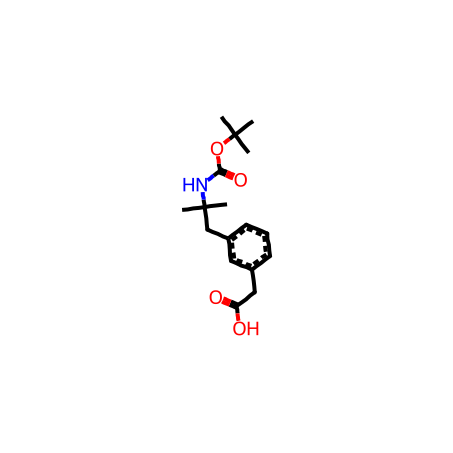 CC(C)(Cc1cccc(CC(=O)O)c1)NC(=O)OC(C)(C)C